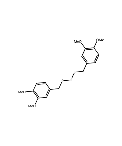 COc1ccc(CSOSCc2ccc(OC)c(OC)c2)cc1OC